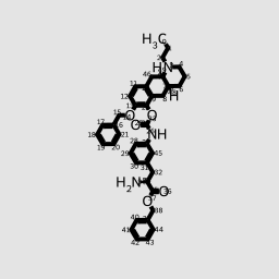 CCCN1CCC[C@@H]2Cc3c(ccc(OCc4ccccc4)c3OC(=O)Nc3cccc(C[C@H](N)C(=O)OCc4ccccc4)c3)C[C@H]21